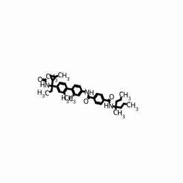 CCCC(C)(CCC)NC(=O)c1ccc(C(=O)Nc2ccc(-c3ccc(C(CC)(NC(C)=O)C4CC4C)cc3C)c(C)c2)cc1